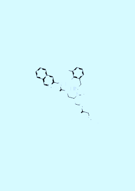 CC(=O)N(NCc1cccc(F)c1F)[C@@H](CNC(=O)CN)COC(=O)Nc1cc2ccccc2cn1